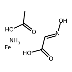 CC(=O)O.N.O=C(O)C=NO.[Fe]